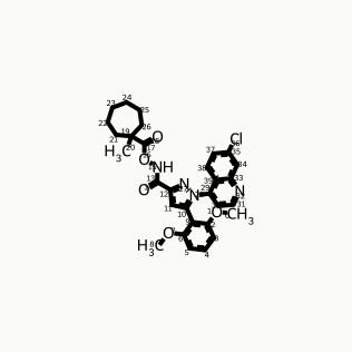 COc1cccc(OC)c1-c1cc(C(=O)NOC(=O)C2(C)CCCCCC2)nn1-c1ccnc2cc(Cl)ccc12